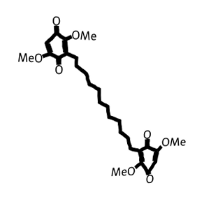 COC1=CC(=O)C(OC)=C(CCCCCCCCCCCCC2=C(OC)C(=O)C=C(OC)C2=O)C1=O